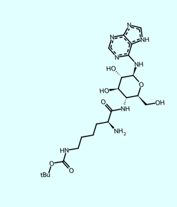 CC(C)(C)OC(=O)NCCCC[C@H](N)C(=O)N[C@@H]1[C@@H](O)[C@H](O)[C@@H](Nc2ncnc3nc[nH]c23)O[C@H]1CO